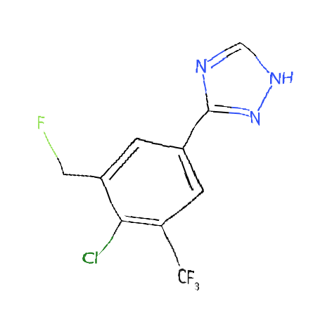 FCc1cc(-c2nc[nH]n2)cc(C(F)(F)F)c1Cl